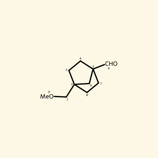 COCC12CCC(C=O)(CC1)C2